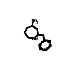 NC1CCCNC(Cc2ccccc2)C1